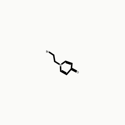 O=c1ccn(CCBr)cc1